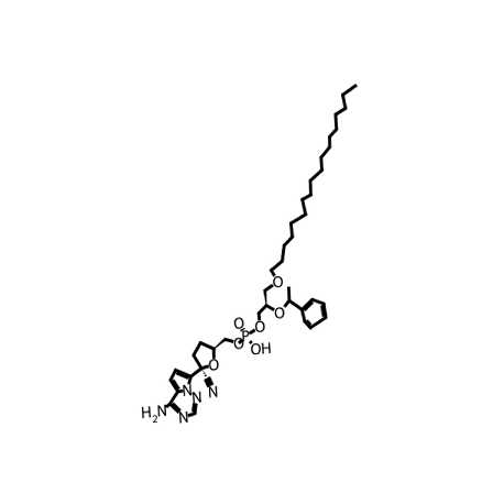 CCCCCCCCCCCCCCCCCCOC[C@H](COP(=O)(O)OC[C@@H]1CC[C@](C#N)(c2ccc3c(N)ncnn23)O1)OC(C)c1ccccc1